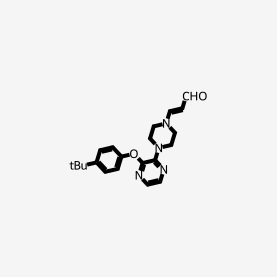 CC(C)(C)c1ccc(Oc2nccnc2N2CCN(C=CC=O)CC2)cc1